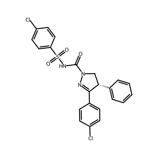 O=C(NS(=O)(=O)c1ccc(Cl)cc1)N1C[C@H](c2ccccc2)C(c2ccc(Cl)cc2)=N1